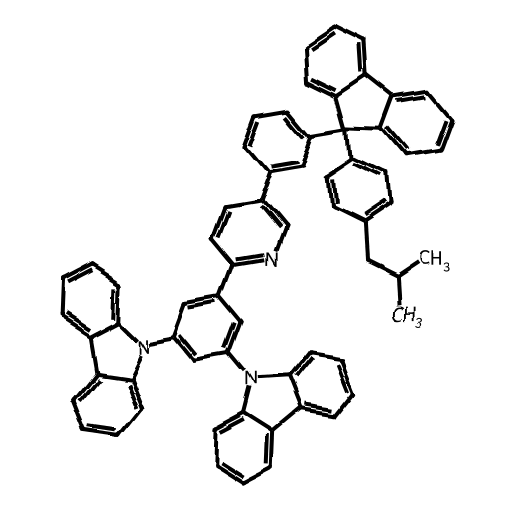 CC(C)Cc1ccc(C2(c3cccc(-c4ccc(-c5cc(-n6c7ccccc7c7ccccc76)cc(-n6c7ccccc7c7ccccc76)c5)nc4)c3)c3ccccc3-c3ccccc32)cc1